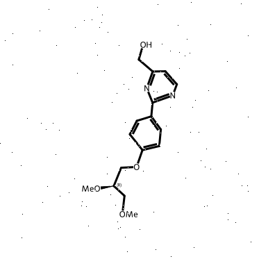 COC[C@H](COc1ccc(-c2nccc(CO)n2)cc1)OC